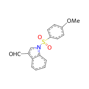 COc1ccc(S(=O)(=O)n2cc(C=O)c3ccccc32)cc1